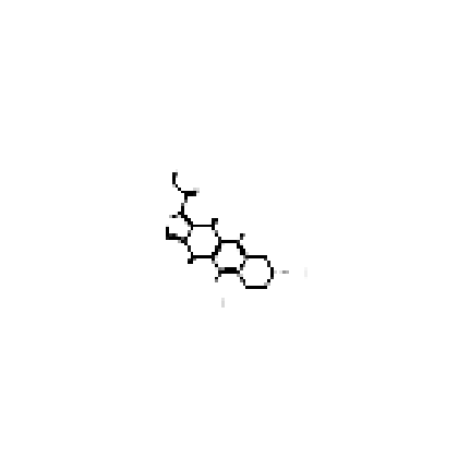 O=C(CO)c1scc2c1C(=O)c1c(O)c3c(c(O)c1C2=O)[C@@H](O)C[C@H](O)C3